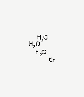 O.O.O.[Cr]